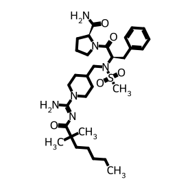 CCCCCC(C)(C)C(=O)N=C(N)N1CCC(CN([C@H](Cc2ccccc2)C(=O)N2CCC[C@H]2C(N)=O)S(C)(=O)=O)CC1